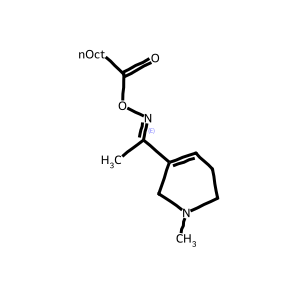 CCCCCCCCC(=O)O/N=C(\C)C1=CCCN(C)C1